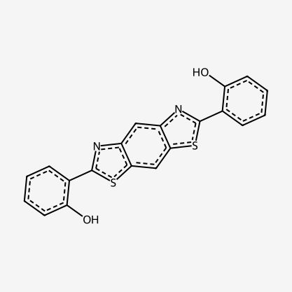 Oc1ccccc1-c1nc2cc3nc(-c4ccccc4O)sc3cc2s1